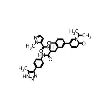 Cc1[nH]nnc1-c1ccc(NC(=O)C(Cc2cc(-c3ccc(=O)n(C(C)C)c3)ccc2Cl)NC(=O)c2ccnn2C)cc1